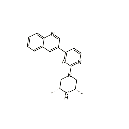 C[C@@H]1CN(c2nccc(-c3cnc4ccccc4c3)n2)C[C@H](C)N1